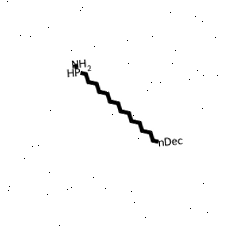 CCCCCCCCCCCCCCCCCCCCCCCCPN